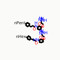 CCCCCCc1ccc(C#CC(=O)Nc2cccc3c2OC(c2nnn[nH]2)CO3)cc1.CCCCCc1ccc(CCC(=O)Nc2cccc3c2OC(c2nnn[nH]2)CO3)cc1